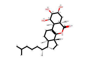 CC(C)CCC[C@@H](C)[C@H]1CC[C@H]2C3=C(CC[C@]12C)[C@]1(C)[C@@H](C[C@H](O)[C@H](O)[C@@H]1O)C(=O)O3